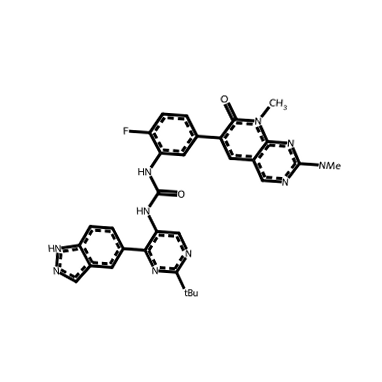 CNc1ncc2cc(-c3ccc(F)c(NC(=O)Nc4cnc(C(C)(C)C)nc4-c4ccc5[nH]ncc5c4)c3)c(=O)n(C)c2n1